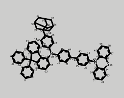 c1ccc(C2(c3ccccc3)c3ccccc3-c3c(N(c4ccc(-c5ccc(N6c7ccccc7Sc7ccccc76)cc5)cc4)c4ccc(C56CC7CC(CC(C7)C5)C6)cc4)cccc32)cc1